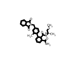 CSC[C@H](C)NC(=O)c1c(C(N)=O)cccc1-c1ccc(CN2C(=O)c3ccccc3C2=O)cc1C